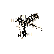 Cc1cc(O)cc(C)c1C[C@H](NC(=O)C(N)CCCNC(=N)N)C(=O)N[C@@H](CCCCN)C(=O)N[C@@H](Cc1ccccc1)C(N)=O